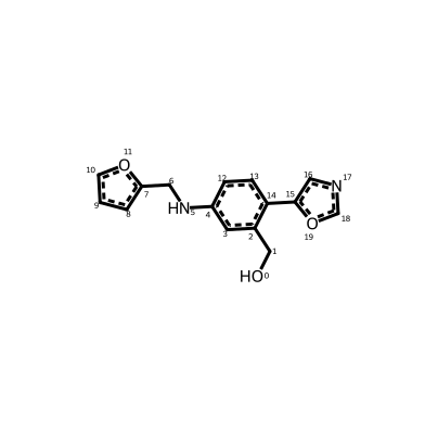 OCc1cc(NCc2ccco2)ccc1-c1cnco1